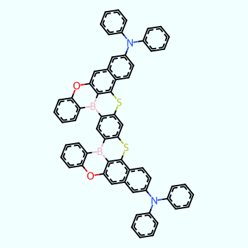 c1ccc(N(c2ccccc2)c2ccc3c4c5c(cc3c2)Oc2ccccc2B5c2cc3c(cc2S4)Sc2c4c(cc5cc(N(c6ccccc6)c6ccccc6)ccc25)Oc2ccccc2B34)cc1